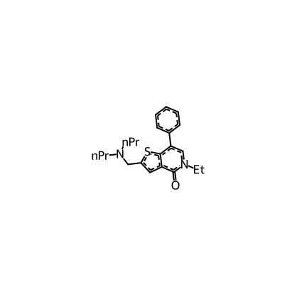 CCCN(CCC)Cc1cc2c(=O)n(CC)cc(-c3ccccc3)c2s1